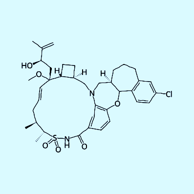 C=C(C)[C@H](O)C[C@]1(OC)/C=C/C[C@H](C)[C@@H](C)S(=O)(=O)NC(=O)c2ccc3c(c2)N(C[C@H]2CCCc4cc(Cl)ccc4C2O3)C[C@@H]2CC[C@H]21